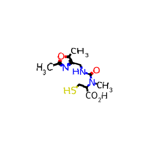 Cc1nc(CNC(=O)N(C)C(CS)C(=O)O)c(C)o1